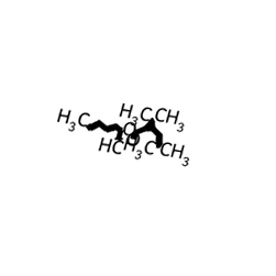 C#CC(/C=C/C=C/C)OC(=O)C1C(C=C(C)C)C1(C)C